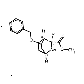 COC(=O)[C@H]1N[C@H]2CC[C@@H]1C(OCc1ccccc1)C2